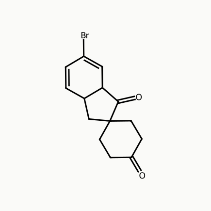 O=C1CCC2(CC1)CC1C=CC(Br)=CC1C2=O